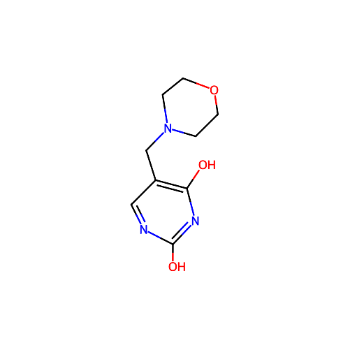 Oc1ncc(CN2CCOCC2)c(O)n1